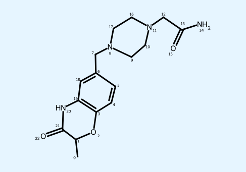 CC1Oc2ccc(CN3CCN(CC(N)=O)CC3)cc2NC1=O